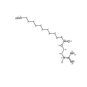 CCCCCCCCCCCCCCCCCCCCCC(=O)OCCN(C)C(=N)N